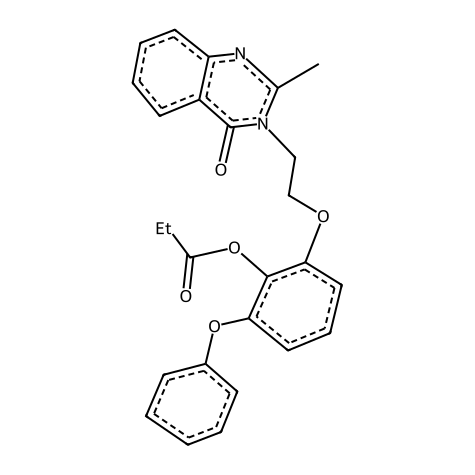 CCC(=O)Oc1c(OCCn2c(C)nc3ccccc3c2=O)cccc1Oc1ccccc1